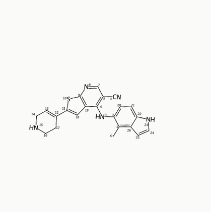 Cc1c(Nc2c(C#N)cnc3sc(C4=CCNCC4)cc23)ccc2[nH]ccc12